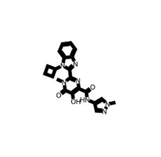 Cn1cc(NC(=O)c2nc(-c3nc4ccccc4n3C3CCC3)n(C)c(=O)c2O)cn1